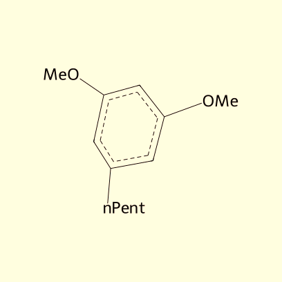 CCCCCc1cc(OC)cc(OC)c1